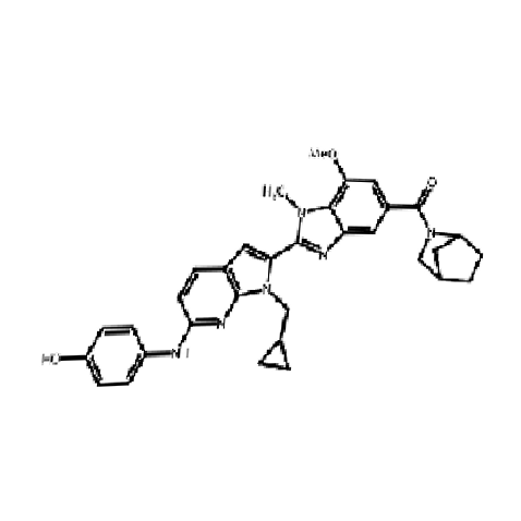 COc1cc(C(=O)N2CC3CCC2C3)cc2nc(-c3cc4ccc(Nc5ccc(O)cc5)nc4n3CC3CC3)n(C)c12